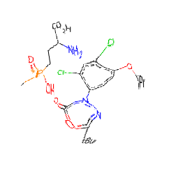 CC(C)Oc1cc(-n2nc(C(C)(C)C)oc2=O)c(Cl)cc1Cl.CP(=O)(O)CCC(N)C(=O)O